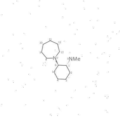 CN[C@@H]1CCCC[C@H]1N1CCCCCC1